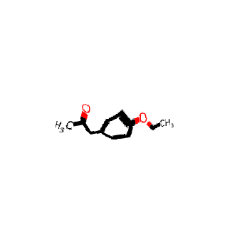 CCOc1ccc(CC(C)=O)cc1